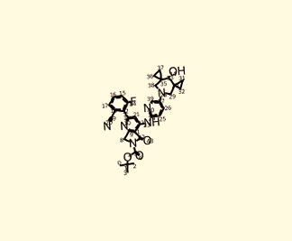 CC(C)(C)OC(=O)N1Cc2nc(-c3c(F)cccc3C#N)cc(Nc3ccc(N4CC5(CC5)C(O)C5(CC5)C4)cn3)c2C1=O